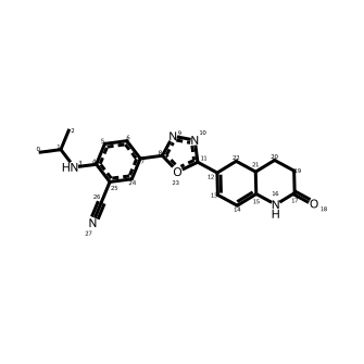 CC(C)Nc1ccc(-c2nnc(C3=CC=C4NC(=O)CCC4C3)o2)cc1C#N